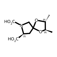 C[C@H]1OC2(C[C@@H](C(=O)O)N(C(=O)O)C2)O[C@@H]1C